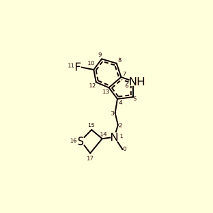 CN(CCc1c[nH]c2ccc(F)cc12)C1CSC1